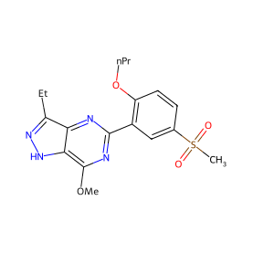 CCCOc1ccc(S(C)(=O)=O)cc1-c1nc(OC)c2[nH]nc(CC)c2n1